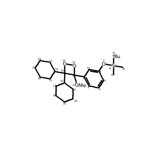 COC1(c2cccc(O[Si](C)(C)C(C)(C)C)c2)OOC1(C1CCCCC1)C1CCCCC1